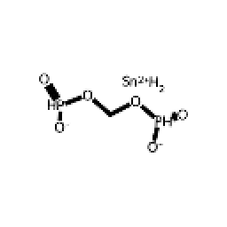 O=[PH]([O-])OCO[PH](=O)[O-].[SnH2+2]